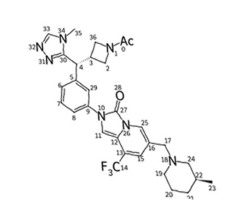 CC(=O)N1CC([C@H](c2cccc(-n3cc4c(C(F)(F)F)cc(CN5CCC[C@H](C)C5)cn4c3=O)c2)c2nncn2C)C1